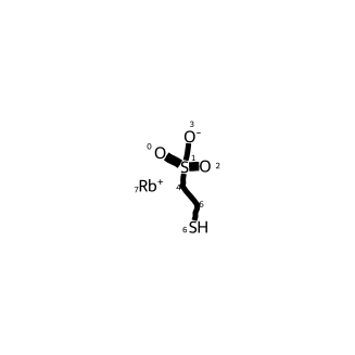 O=S(=O)([O-])CCS.[Rb+]